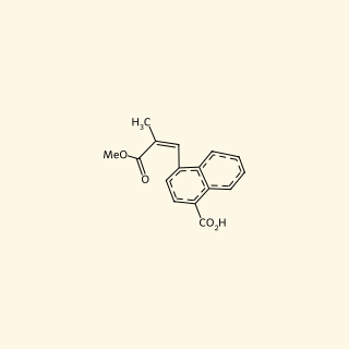 COC(=O)C(C)=Cc1ccc(C(=O)O)c2ccccc12